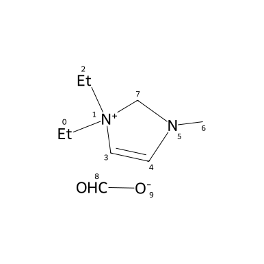 CC[N+]1(CC)C=CN(C)C1.O=C[O-]